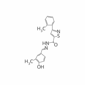 Cc1cc(/C=N/NC(=O)c2cc(-c3ccccc3C)ns2)ccc1O